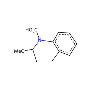 COC(C)N(C(=O)O)c1ccccc1C